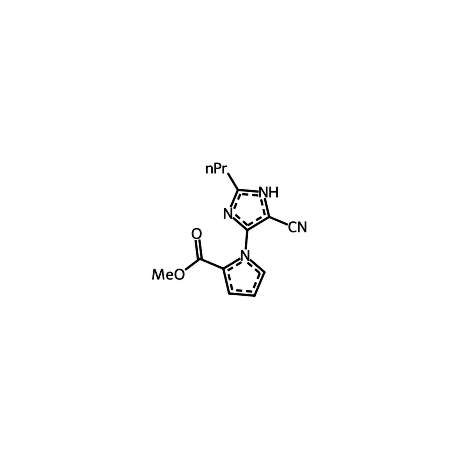 CCCc1nc(-n2cccc2C(=O)OC)c(C#N)[nH]1